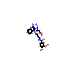 COCCc1nc2c(N)nc3ccccc3c2n1CCCCNC(=O)c1ccc(OC)c(OC)c1